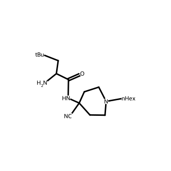 CCCCCCN1CCC(C#N)(NC(=O)C(N)CC(C)(C)C)CC1